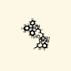 CC1CNc2c(cccc2S(=O)(=O)NC(CCCc2cn(C(c3ccccc3)(c3ccccc3)c3ccccc3)cn2)C(=O)O)C1